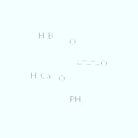 BOC(=O)OP.[CaH2]